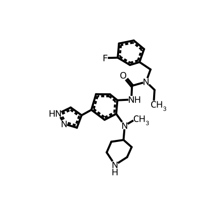 CCN(Cc1cccc(F)c1)C(=O)Nc1ccc(-c2cn[nH]c2)cc1N(C)C1CCNCC1